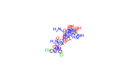 CC(=O)N[C@@H](Cc1cnc[nH]1)C(=O)N[C@@H](CO)C(=O)N[C@@H](CO)C(=O)N[C@@H](CCCCN)C(=O)N[C@@H](CC(C)C)C(=O)N[C@@H](CCC(N)=O)C(=O)N[C@@H](C)CC1CCCCN1C(=O)Oc1ccc(Cl)cc1-c1nc2ccc(Cl)cc2c(=O)[nH]1